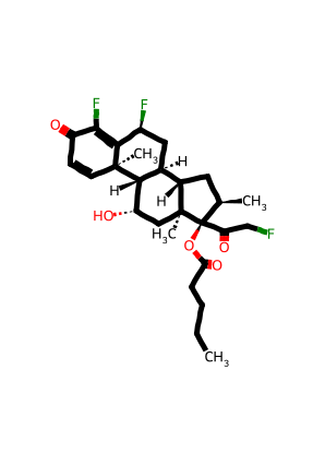 CCCCC(=O)O[C@]1(C(=O)CF)[C@H](C)C[C@H]2[C@@H]3C[C@H](F)C4=C(F)C(=O)C=C[C@]4(C)[C@H]3[C@@H](O)C[C@@]21C